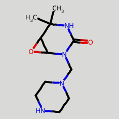 CC1(C)NC(=O)N(CN2CCNCC2)C2OC21